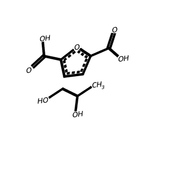 CC(O)CO.O=C(O)c1ccc(C(=O)O)o1